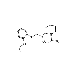 CCOc1ccccc1OCC1OCC(=O)N2CCCCC12